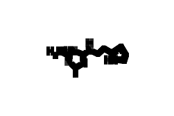 CC1N=C(N)NC(NCCc2ccc[nH]2)=N1